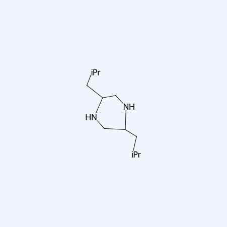 CC(C)CC1CNC(CC(C)C)CN1